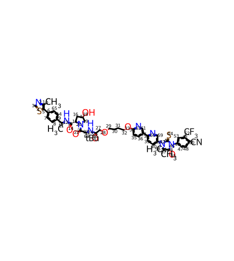 Cc1ncsc1-c1ccc([C@H](C)NC(=O)[C@@H]2C[C@@H](O)CN2C(=O)[C@@H](NC(=O)COCCCCOc2ccc(-c3ccc(N4C(=S)N(c5ccc(C#N)c(C(F)(F)F)c5)C(=O)C4(C)C)cn3)cn2)C(C)(C)C)cc1